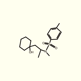 Cc1ccc(S(=O)(=O)N(C)C(C)CC2(O)CCCCC2)cc1